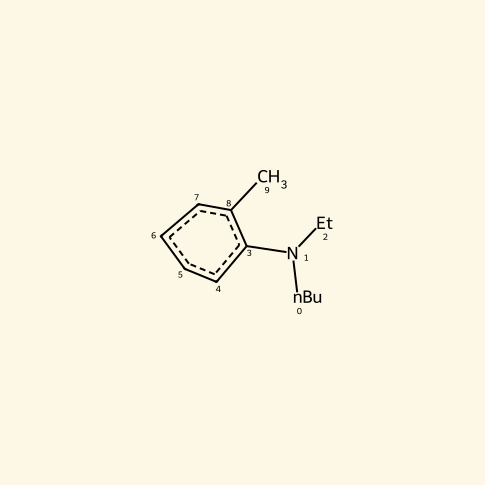 CCCCN(CC)c1ccccc1C